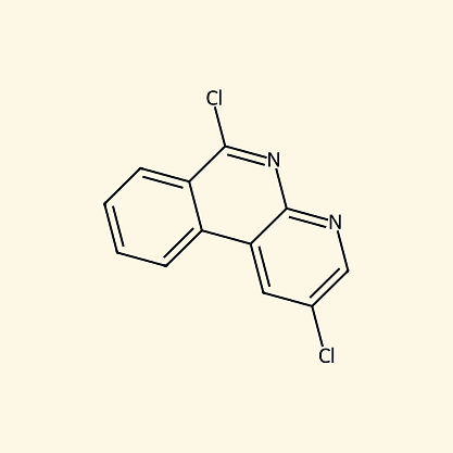 Clc1cnc2nc(Cl)c3ccccc3c2c1